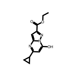 CCOC(=O)c1cc2nc(C3CC3)cc(O)n2n1